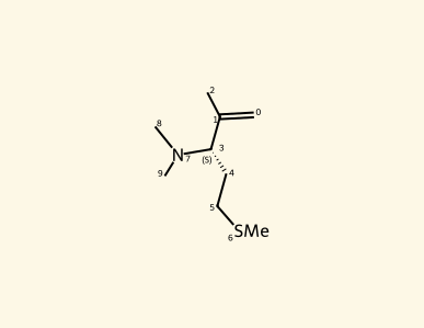 C=C(C)[C@H](CCSC)N(C)C